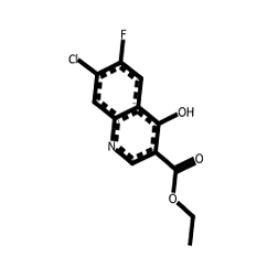 CCOC(=O)c1cnc2cc(Cl)c(F)cc2c1O